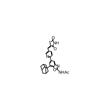 CC(=O)Nc1nc2cc(-c3ccc(/C=C4/SC(=O)NC4=O)cn3)cc(C34CC5CC(CC(C5)C3)C4)c2o1